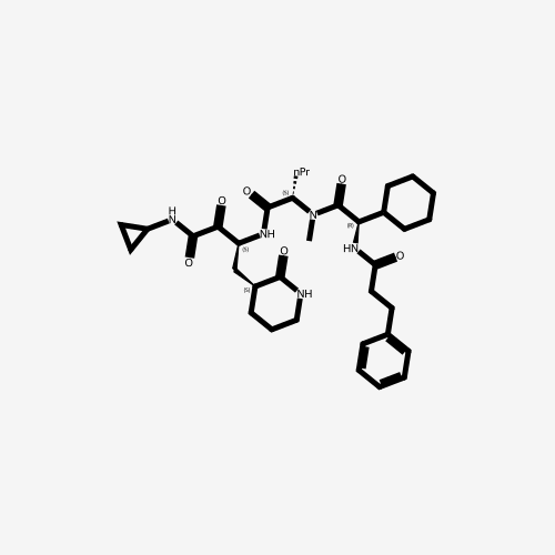 CCC[C@@H](C(=O)N[C@@H](C[C@@H]1CCCNC1=O)C(=O)C(=O)NC1CC1)N(C)C(=O)[C@H](NC(=O)CCc1ccccc1)C1CCCCC1